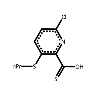 CCCSc1ccc(Cl)nc1C(O)=S